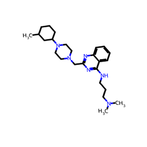 CC1CCCC(N2CCN(Cc3nc(NCCCN(C)C)c4ccccc4n3)CC2)C1